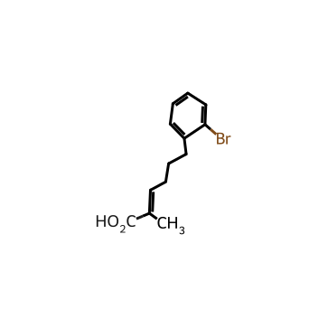 CC(=CCCCc1ccccc1Br)C(=O)O